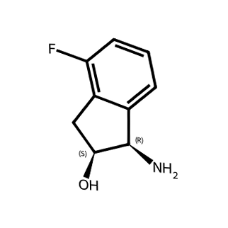 N[C@@H]1c2cccc(F)c2C[C@@H]1O